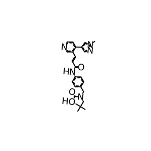 Cn1cc(-c2ccncc2C=CC(=O)Nc2ccc(CN(CC(C)(C)C)C(=O)O)cc2)cn1